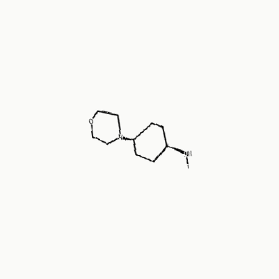 IN[C@H]1CC[C@@H](N2CCOCC2)CC1